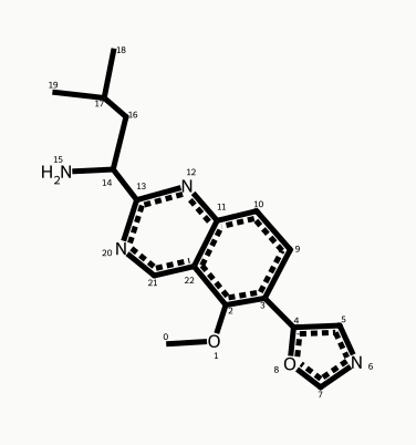 COc1c(-c2cnco2)ccc2nc(C(N)CC(C)C)ncc12